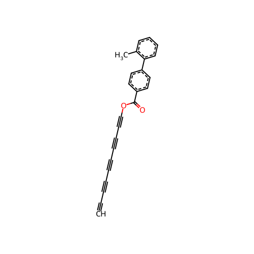 C#CC#CC#CC#CC#COC(=O)c1ccc(-c2ccccc2C)cc1